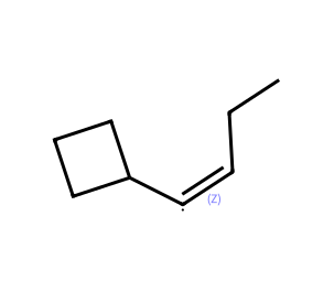 CC/C=[C]\C1CCC1